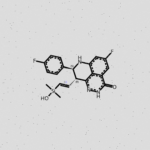 C[Si](C)(O)/C=C/[C@H]1c2n[nH]c(=O)c3cc(F)cc(c23)N[C@@H]1c1ccc(F)cc1